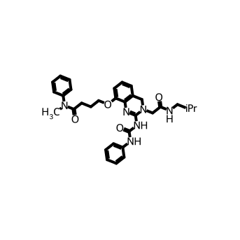 CC(C)CNC(=O)CN1Cc2cccc(OCCCC(=O)N(C)c3ccccc3)c2N=C1NC(=O)Nc1ccccc1